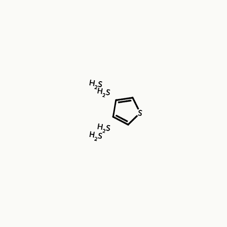 S.S.S.S.c1ccsc1